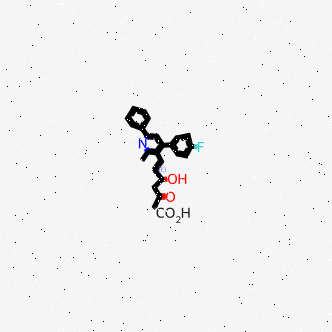 Cc1nc(-c2ccccc2)cc(-c2ccc(F)cc2)c1/C=C/C(O)CC(=O)CC(=O)O